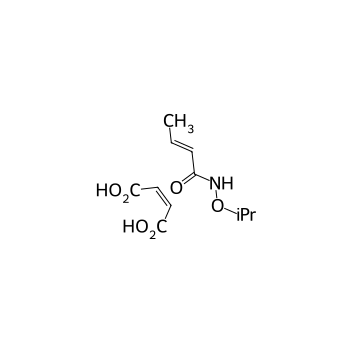 CC=CC(=O)NOC(C)C.O=C(O)/C=C\C(=O)O